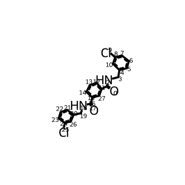 O=C(NCc1cccc(Cl)c1)c1cccc(C(=O)NCc2cccc(Cl)c2)c1